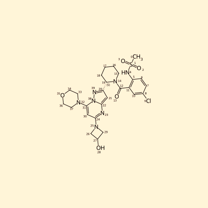 CS(=O)(=O)Nc1ccc(Cl)cc1C(=O)N1CCCC[C@H]1c1cc2nc(N3CC(O)C3)cc(N3CCOCC3)n2n1